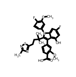 COc1cc(-n2c(C(C)(C)CCc3nc(C)ns3)c(-c3ccc(C(=O)O)c(OC)c3)c3c(O)cc(F)cc32)ccc1F